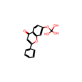 O=c1cc(-c2ccccc2)oc2cc(OC(O)(O)O)ccc12